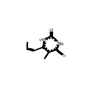 C/C=C\c1[nH]c(=O)[nH]c(=O)c1C